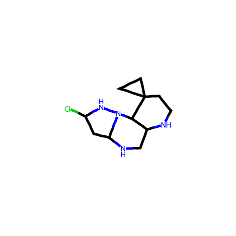 ClC1CC2NCC3NCCC4(CC4)C3N2N1